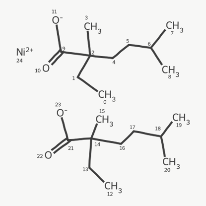 CCC(C)(CCC(C)C)C(=O)[O-].CCC(C)(CCC(C)C)C(=O)[O-].[Ni+2]